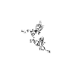 CN1C(=O)[C@@]2(S)CN(C(=O)CCOC[C@](C)([SiH3])Nc3cn[nH]c(=O)c3C(F)(F)F)CCN2c2ncc(C#N)cc21